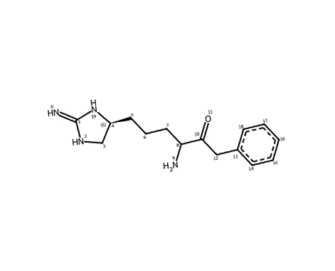 N=C1NC[C@H](CCCC(N)C(=O)Cc2ccccc2)N1